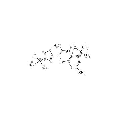 C[C](C)=[Ti]([O]c1cc(C)cc(C(C)(C)C)c1)[C]1=CC(C(C)(C)C)=CC1